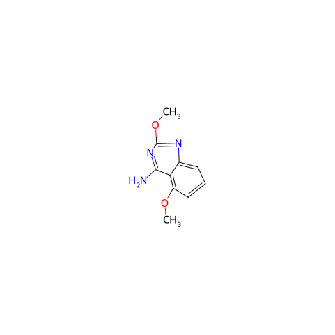 COc1nc(N)c2c(OC)cccc2n1